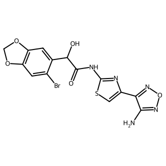 Nc1nonc1-c1csc(NC(=O)C(O)c2cc3c(cc2Br)OCO3)n1